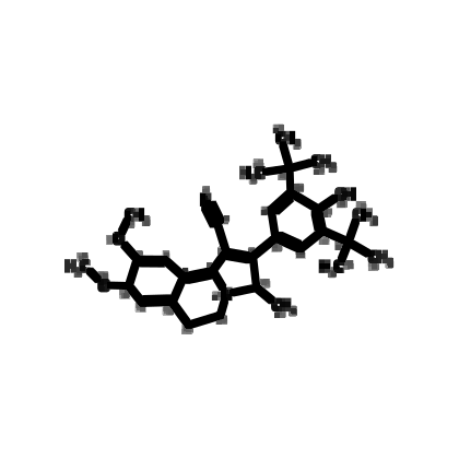 COC1=CC2=C3C(C#N)=C(c4cc(C(C)(C)C)c(O)c(C(C)(C)C)c4)C(C)N3CCC2=CC1OC